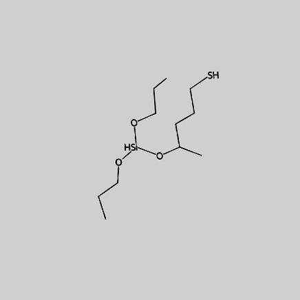 CCCO[SiH](OCCC)OC(C)CCCS